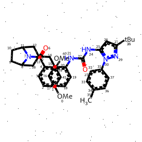 COc1ccc(C(=O)N2C3CCC2CC(Cc2ccccc2NC(=O)Nc2cc(C(C)(C)C)nn2-c2ccc(C)cc2)C3)c(OC)c1